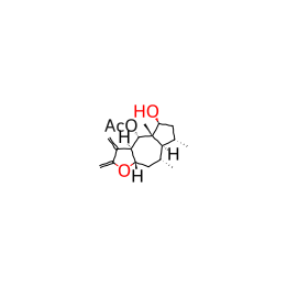 C=C1O[C@H]2C[C@@H](C)[C@@H]3[C@@H](C)C[C@H](O)[C@@]3(C)[C@@H](OC(C)=O)[C@@H]2C1=C